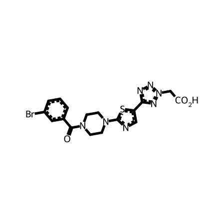 O=C(O)Cn1nnc(-c2cnc(N3CCN(C(=O)c4cccc(Br)c4)CC3)s2)n1